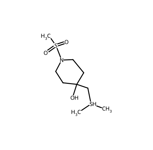 C[SH](C)CC1(O)CCN(S(C)(=O)=O)CC1